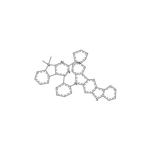 C[Si]1(C)c2ccccc2-c2c(-c3ccccc3-n3c4ccccc4c4cc5c(cc43)sc3ccccc35)nc(-c3ccccc3)nc21